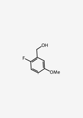 COc1[c]cc(F)c(CO)c1